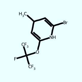 C[C]1C=C(Br)NC(OC(F)(C(F)(F)F)C(F)(F)F)=C1